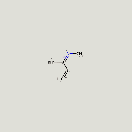 C=C/C(CCC)=N\C